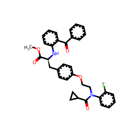 COC(=O)[C@H](Cc1ccc(OCCN(C(=O)C2CC2)c2ccccc2F)cc1)Nc1ccccc1C(=O)c1ccccc1